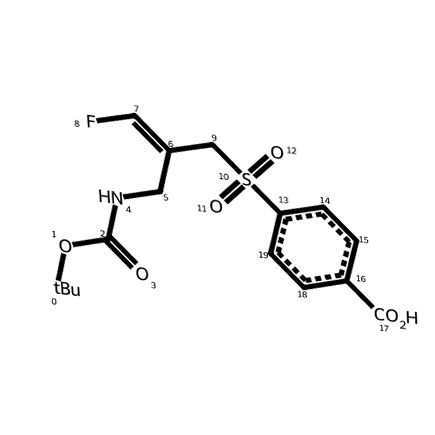 CC(C)(C)OC(=O)NC/C(=C\F)CS(=O)(=O)c1ccc(C(=O)O)cc1